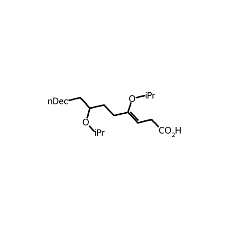 CCCCCCCCCCCC(CCC(=CCC(=O)O)OC(C)C)OC(C)C